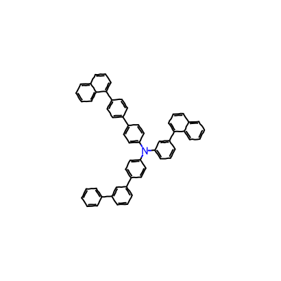 c1ccc(-c2cccc(-c3ccc(N(c4ccc(-c5ccc(-c6cccc7ccccc67)cc5)cc4)c4cccc(-c5cccc6ccccc56)c4)cc3)c2)cc1